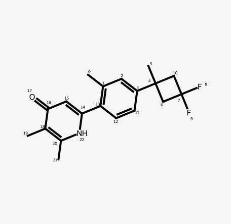 Cc1cc(C2(C)CC(F)(F)C2)ccc1-c1cc(=O)c(C)c(C)[nH]1